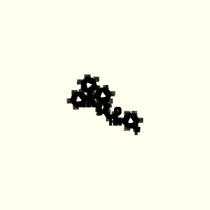 O=C(Cc1cnc(NC(c2ccccc2)(c2ccccc2)c2ccccc2)s1)Nc1cccc(F)c1